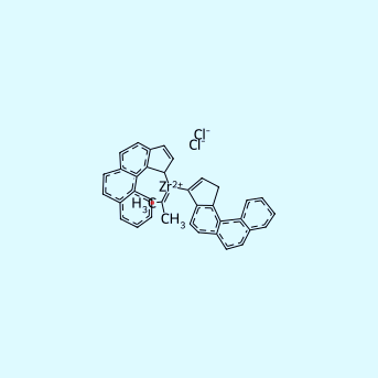 C[C](C)=[Zr+2]([C]1=CCc2c1ccc1ccc3ccccc3c21)[CH]1C=Cc2ccc3ccc4ccccc4c3c21.[Cl-].[Cl-]